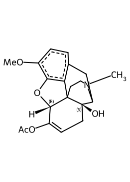 COc1ccc2c3c1O[C@H]1C(OC(C)=O)=CC[C@@]4(O)C(C2)N(C)CCC314